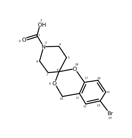 O=C(O)N1CCC2(CC1)OCc1cc(Br)ccc1O2